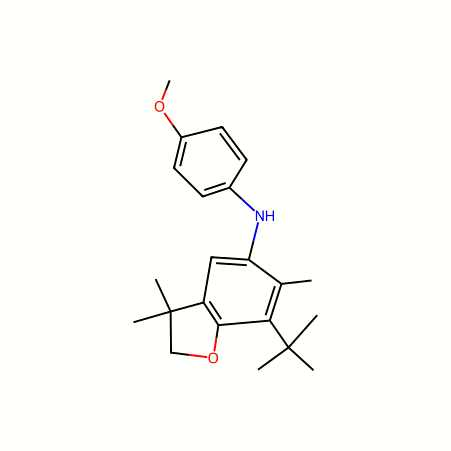 COc1ccc(Nc2cc3c(c(C(C)(C)C)c2C)OCC3(C)C)cc1